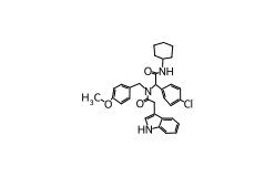 COc1ccc(CN(C(=O)Cc2c[nH]c3ccccc23)C(C(=O)NC2CCCCC2)c2ccc(Cl)cc2)cc1